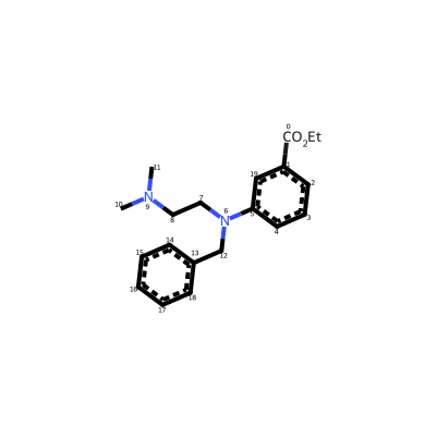 CCOC(=O)c1cccc(N(CCN(C)C)Cc2ccccc2)c1